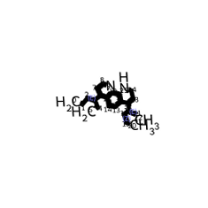 C=C/C=C(\C=C)c1ccnc2c3c(ccc12)C(C(/C=C\C)=C/C)=CCN3